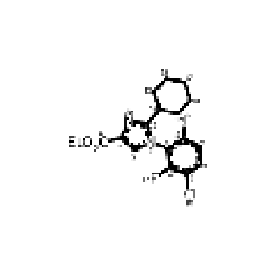 CCOC(=O)c1cn(-c2c(I)ccc(Cl)c2F)c(C2CCCCC2)n1